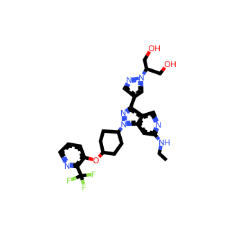 CCNc1cc2c(cn1)c(-c1cnn(C(CO)CO)c1)nn2C1CCC(Oc2cccnc2C(F)(F)F)CC1